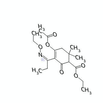 CCO/N=C(/CC)C1=C(OC(C)=O)CC(C)(C)C(C(=O)OCC)C1=O